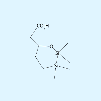 C[Si]1(C)CCC(CC(=O)O)O[Si]1(C)C